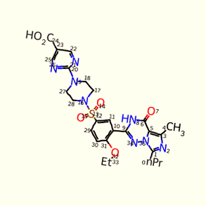 CCCc1nc(C)c2c(=O)[nH]c(-c3cc(S(=O)(=O)N4CCN(c5ncc(C(=O)O)cn5)CC4)ccc3OCC)nn12